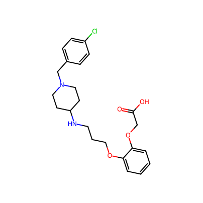 O=C(O)COc1ccccc1OCCCNC1CCN(Cc2ccc(Cl)cc2)CC1